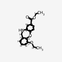 CCOC(=O)c1ccc2c(c1)NCc1cccc(OCC)c1O2